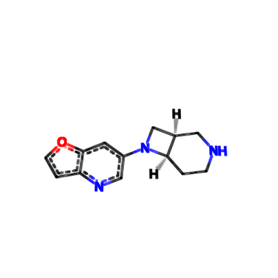 c1cc2ncc(N3C[C@H]4CNCC[C@H]43)cc2o1